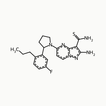 CCCc1ccc(F)cc1C1CCCN1c1ccn2nc(N)c(C(N)=S)c2n1